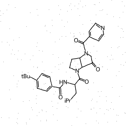 CC(C)CC(NC(=O)c1ccc(C(C)(C)C)cc1)C(=O)N1CCC2C1C(=O)CN2C(=O)c1ccncc1